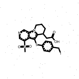 CS(=O)(=O)c1cncc2c1c(Sc1ccc(CI)cc1)c1n2CCCC1CC(=O)O